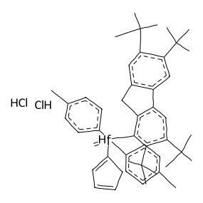 Cl.Cl.[CH2]=[Hf]([C]1=CC=CC1)([c]1ccc(C)cc1)([c]1ccc(C)cc1)[c]1c2c(cc(C(C)(C)C)c1C(C)(C)C)-c1cc(C(C)(C)C)c(C(C)(C)C)cc1C2